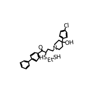 CCS.O=C(c1ccc(-c2ccccc2)cc1)C(S)CCN1CCC(O)(c2ccc(Cl)cc2)CC1